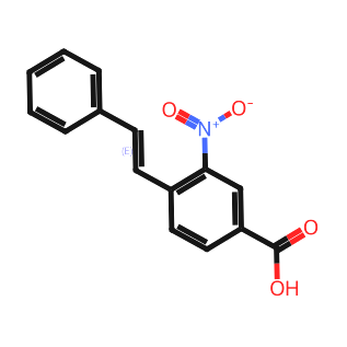 O=C(O)c1ccc(/C=C/c2ccccc2)c([N+](=O)[O-])c1